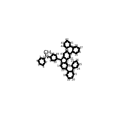 CN(c1ccccc1)c1ccc(C2c3ccc(-c4ccccc4-c4ccccc4)cc3-c3cc(-c4ccccc4-c4ccccc4)ccc32)cc1